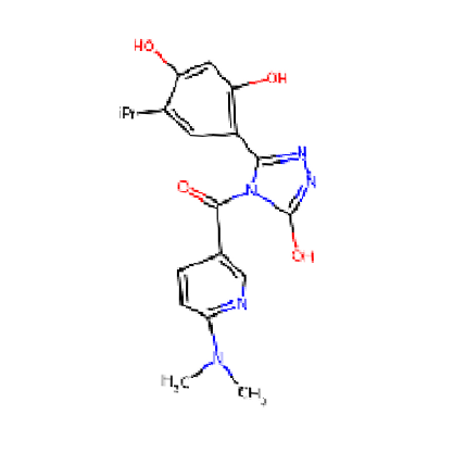 CC(C)c1cc(-c2nnc(O)n2C(=O)c2ccc(N(C)C)nc2)c(O)cc1O